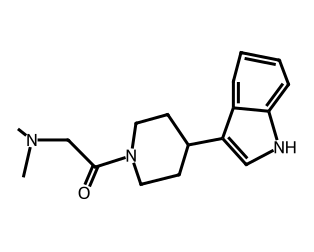 CN(C)CC(=O)N1CCC(c2c[nH]c3ccccc23)CC1